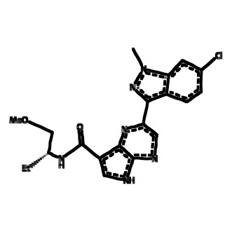 CC[C@H](COC)NC(=O)c1c[nH]c2ncc(-c3nn(C)c4cc(Cl)ccc34)nc12